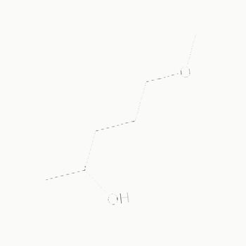 COCCC[C](C)O